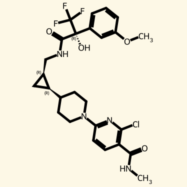 CNC(=O)c1ccc(N2CCC([C@H]3C[C@H]3CNC(=O)[C@](O)(c3cccc(OC)c3)C(F)(F)F)CC2)nc1Cl